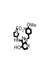 COc1ccc(Cn2nc(N[C@@H]3CCN(C(=O)O)C3)c3c(O)ccnc32)cc1